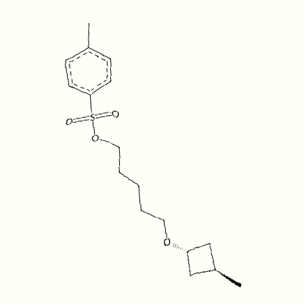 Cc1ccc(S(=O)(=O)OCCCCCO[C@H]2C[C@H](C)C2)cc1